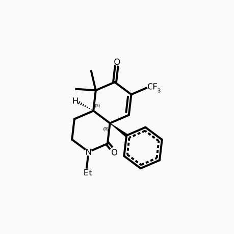 CCN1CC[C@H]2C(C)(C)C(=O)C(C(F)(F)F)=C[C@]2(c2ccccc2)C1=O